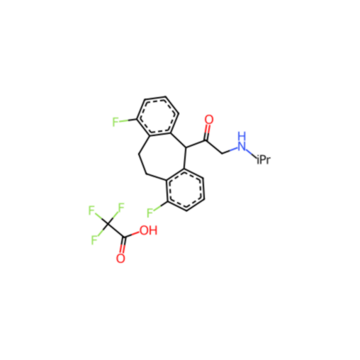 CC(C)NCC(=O)C1c2cccc(F)c2CCc2c(F)cccc21.O=C(O)C(F)(F)F